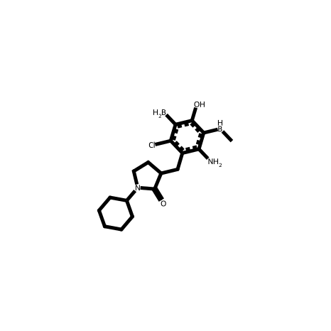 Bc1c(O)c(BC)c(N)c(CC2CCN(C3CCCCC3)C2=O)c1Cl